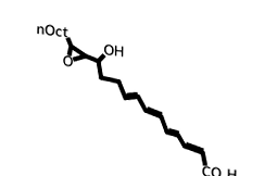 CCCCCCCCC1OC1C(O)CC/C=C/C=C/C=C/C=C/C(=O)O